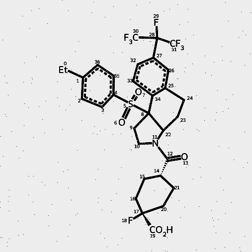 CCc1ccc(S(=O)(=O)C23CCN(C(=O)[C@H]4CC[C@](F)(C(=O)O)CC4)C2CCc2cc(C(F)(C(F)(F)F)C(F)(F)F)ccc23)cc1